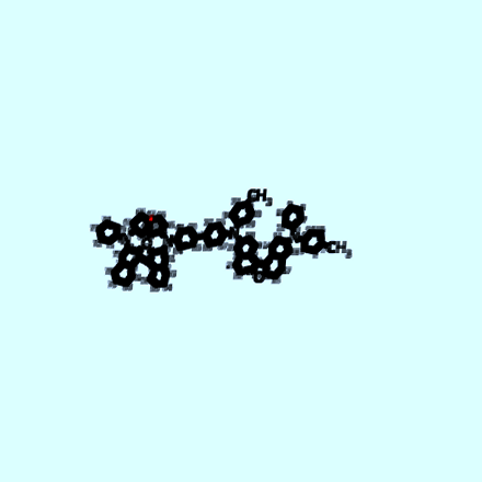 Cc1ccc(N(c2ccccc2)c2ccc3c(ccc4oc5ccc6cc(N(c7ccc(C)cc7)c7ccc(-c8ccc(N(c9ccccc9)c9cc%10ccccc%10c%10c9oc9c(N(c%11ccccc%11)c%11ccccc%11)cc%11ccccc%11c9%10)cc8)cc7)ccc6c5c43)c2)cc1